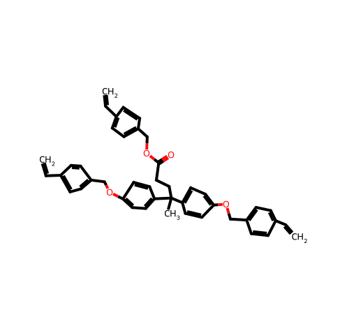 C=Cc1ccc(COC(=O)CCC(C)(c2ccc(OCc3ccc(C=C)cc3)cc2)c2ccc(OCc3ccc(C=C)cc3)cc2)cc1